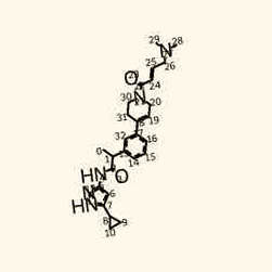 CC(C(=O)Nc1cc(C2CC2)[nH]n1)c1cccc(C2=CCN(C(=O)C=CCN(C)C)CC2)c1